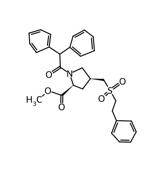 COC(=O)[C@@H]1C[C@H](CS(=O)(=O)CCc2ccccc2)CN1C(=O)C(c1ccccc1)c1ccccc1